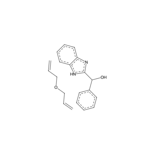 C=CCOCC=C.OC(c1ccccc1)c1nc2ccccc2[nH]1